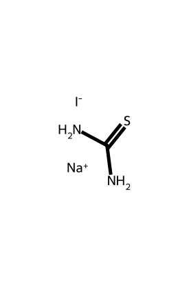 NC(N)=S.[I-].[Na+]